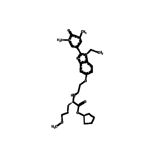 CCn1c(-c2cc(C)c(=O)n(C)c2)nc2cc(OCCN[C@@H](CCCOC)C(=O)OC3CCCC3)ccc21